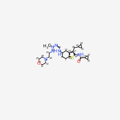 CN(/N=C\NC1CCc2sc(NC(=O)C3CC3)c(CC3CC3)c2C1)NCCN1CCOCC1